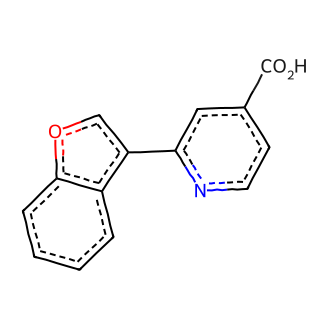 O=C(O)c1ccnc(-c2coc3ccccc23)c1